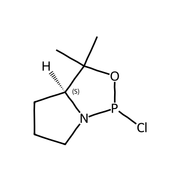 CC1(C)OP(Cl)N2CCC[C@H]21